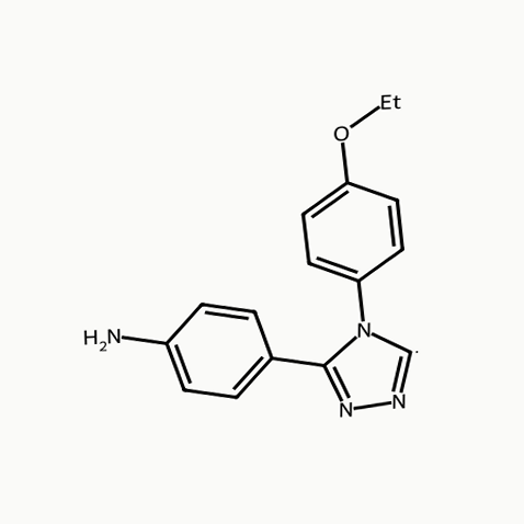 CCOc1ccc(-n2[c]nnc2-c2ccc(N)cc2)cc1